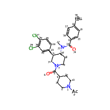 CC(=O)N1CCC(C(=O)N2CC[C@@H](N(C)C(=O)c3ccc(C(C)(C)C)cc3)[C@H](c3ccc(Cl)c(Cl)c3)C2)CC1